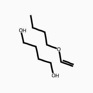 C=COCCCC.OCCCCO